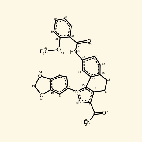 NC(=O)c1nn(-c2ccc3c(c2)OCO3)c2c1CCc1ccc(NC(=O)c3ccccc3OC(F)(F)F)cc1-2